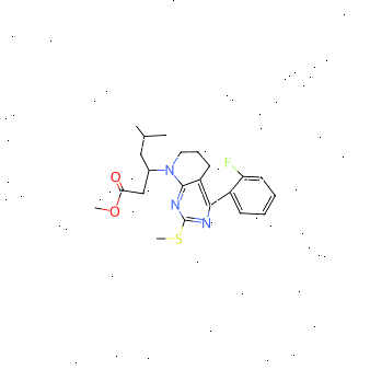 COC(=O)CC(CC(C)C)N1CCCc2c(-c3ccccc3F)nc(SC)nc21